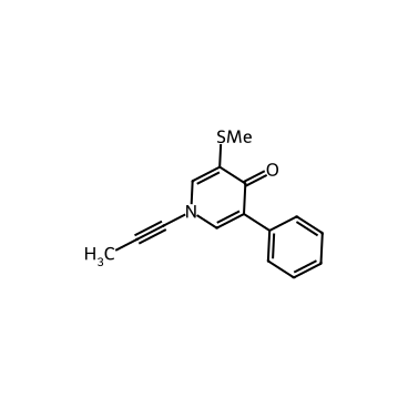 CC#Cn1cc(SC)c(=O)c(-c2ccccc2)c1